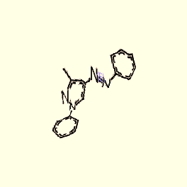 Cc1nn(-c2ccccc2)cc1/N=N/c1ccccc1